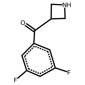 O=C(c1cc(F)cc(F)c1)C1CNC1